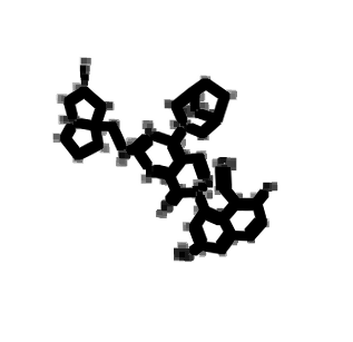 C#Cc1c(F)ccc2cc(O)cc(-n3ncc4c(N5CC6CCC(C5)N6)nc(OCC56CCCN5C[C@H](F)C6)nc4c3=O)c12